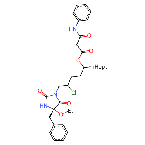 CCCCCCCC(CCC(Cl)CN1C(=O)N[C@@](Cc2ccccc2)(OCC)C1=O)OC(=O)CC(=O)Nc1ccccc1